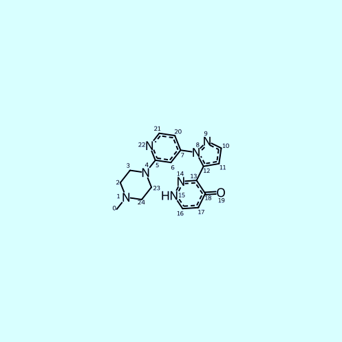 CN1CCN(c2cc(-n3nccc3-c3n[nH]ccc3=O)ccn2)CC1